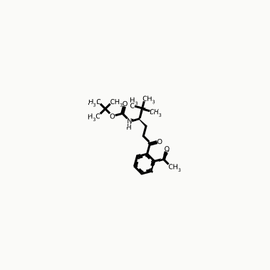 CC(=O)c1ccccc1C(=O)CC[C@@H](NC(=O)OC(C)(C)C)C(C)(C)C